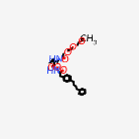 COCCOCCOCC(=O)NCC1(C(=O)ONC(=O)Cc2ccc(CCCCc3ccccc3)cc2)CC1